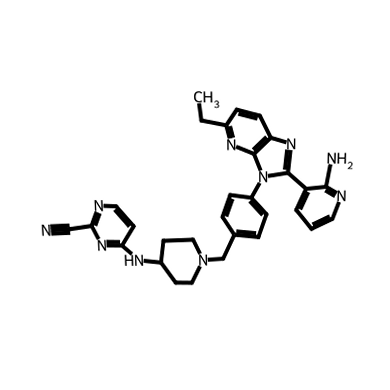 CCc1ccc2nc(-c3cccnc3N)n(-c3ccc(CN4CCC(Nc5ccnc(C#N)n5)CC4)cc3)c2n1